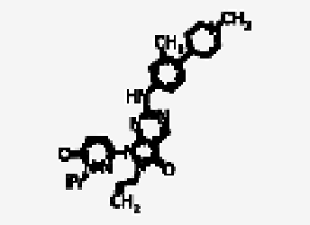 C=CCn1c(=O)c2cnc(Nc3ccc(C4CCN(C)CC4)c(C)c3)nc2n1-c1ccc(=O)n(C(C)C)n1